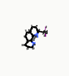 [I][Pd]([I])[c]1ccc2ccc3cccnc3c2n1